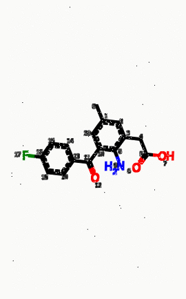 Cc1cc(CC(=O)O)c(N)c(C(=O)c2ccc(F)cc2)c1